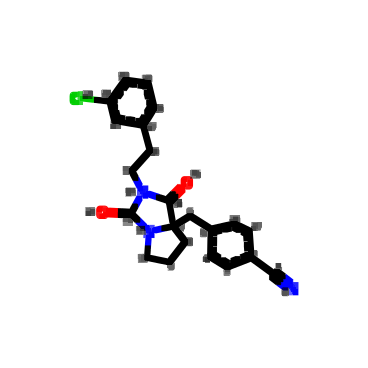 N#Cc1ccc(CC23CCCN2C(=O)N(CCc2cccc(Cl)c2)C3=O)cc1